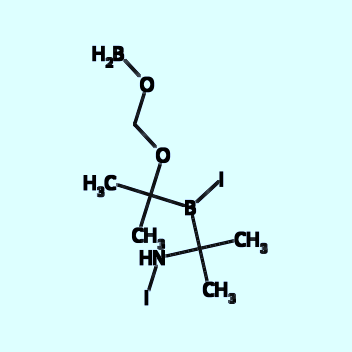 BOCOC(C)(C)B(I)C(C)(C)NI